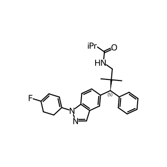 CC(C)C(=O)NCC(C)(C)[C@@H](c1ccccc1)c1ccc2c(cnn2C2=CC=C(F)CC2)c1